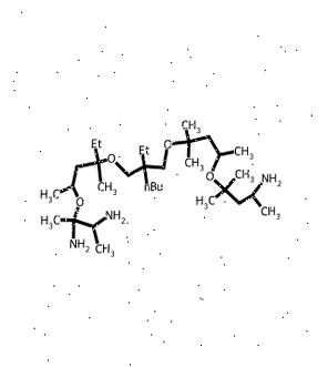 CCCCC(CC)(COC(C)(C)CC(C)OC(C)(C)CC(C)N)COC(C)(CC)CC(C)OC(C)(N)C(C)N